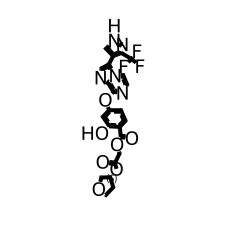 O=C(COC(=O)c1ccc(Oc2nccn3c(-c4c[nH]nc4C(F)(F)F)cnc23)cc1O)O[C@H]1CCOC1